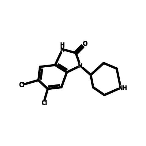 O=c1[nH]c2cc(Cl)c(Cl)cc2n1C1CCNCC1